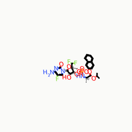 CC(C)OC(=O)[C@H](C)NP(=O)(OC[C@@]1(C(F)F)O[C@@H](n2cc(F)c(N)nc2=O)[C@H](O)[C@@H]1O)Oc1ccc2ccccc2c1